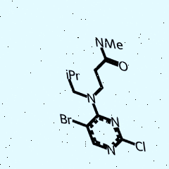 CNC(=O)CCN(CC(C)C)c1nc(Cl)ncc1Br